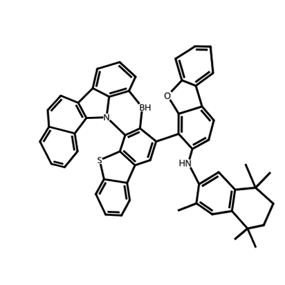 Cc1cc2c(cc1Nc1ccc3c(oc4ccccc43)c1-c1cc3c(sc4ccccc43)c3c1Bc1cccc4c5ccc6ccccc6c5n-3c14)C(C)(C)CCC2(C)C